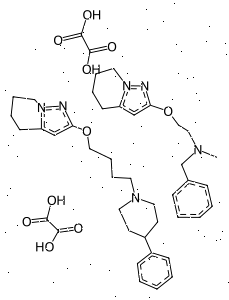 CN(CCOc1cc2n(n1)CCCC2)Cc1ccccc1.O=C(O)C(=O)O.O=C(O)C(=O)O.c1ccc(C2CCN(CCCCOc3cc4n(n3)CCCC4)CC2)cc1